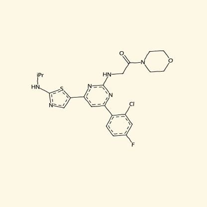 CC(C)Nc1ncc(-c2cc(-c3ccc(F)cc3Cl)nc(NCC(=O)N3CCOCC3)n2)s1